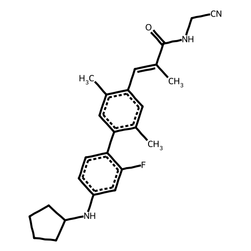 C/C(=C\c1cc(C)c(-c2ccc(NC3CCCC3)cc2F)cc1C)C(=O)NCC#N